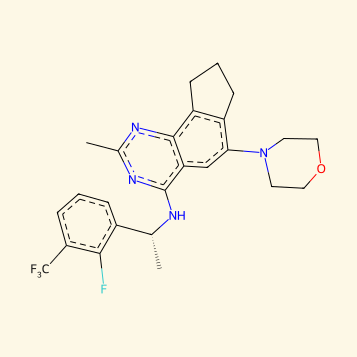 Cc1nc(N[C@H](C)c2cccc(C(F)(F)F)c2F)c2cc(N3CCOCC3)c3c(c2n1)CCC3